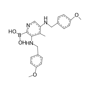 COc1ccc(CNc2cnc(B(O)O)c(NCc3ccc(OC)cc3)c2C)cc1